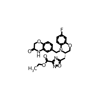 CCOC(=O)c1noc(C[C@H]2COc3cc(F)ccc3N2Cc2ccc3c(c2)NC(=O)CO3)n1